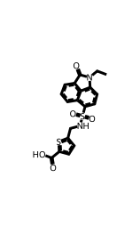 CCN1C(=O)c2cccc3c(S(=O)(=O)NCc4ccc(C(=O)O)s4)ccc1c23